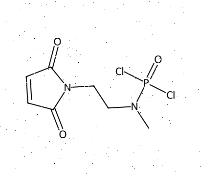 CN(CCN1C(=O)C=CC1=O)P(=O)(Cl)Cl